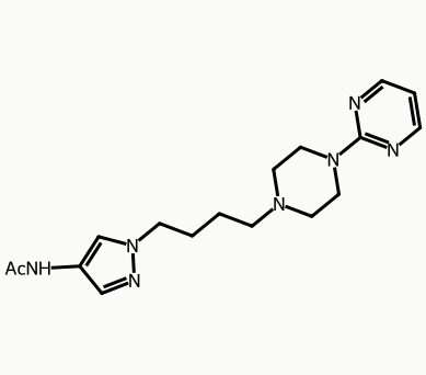 CC(=O)Nc1cnn(CCCCN2CCN(c3ncccn3)CC2)c1